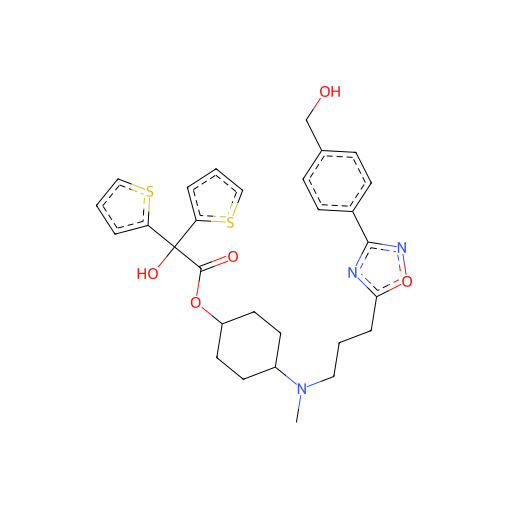 CN(CCCc1nc(-c2ccc(CO)cc2)no1)C1CCC(OC(=O)C(O)(c2cccs2)c2cccs2)CC1